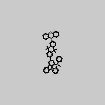 CC1(C)c2ccc(N3c4ccccc4Oc4ccccc43)cc2C(C)(C)c2ccc(-c3cc(P(=S)(c4ccccc4)c4ccccc4)c4oc5ccccc5c4c3)cc21